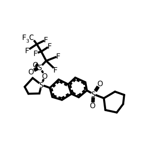 O=S(=O)(c1ccc2cc(S3(OS(=O)(=O)C(F)(F)C(F)(F)C(F)(F)C(F)(F)F)CCCC3)ccc2c1)C1CCCCC1